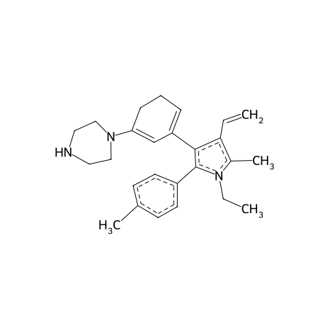 C=Cc1c(C2=CCCC(N3CCNCC3)=C2)c(-c2ccc(C)cc2)n(CC)c1C